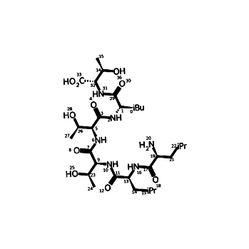 CC[C@H](C)[C@H](NC(=O)[C@@H](NC(=O)[C@@H](NC(=O)[C@H](CC(C)C)NC(=O)[C@@H](N)CC(C)C)[C@@H](C)O)[C@@H](C)O)C(=O)N[C@H](C(=O)O)[C@@H](C)O